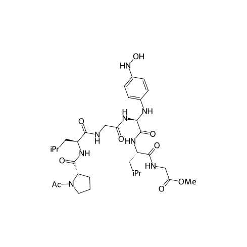 COC(=O)CNC(=O)[C@H](CC(C)C)NC(=O)[C@@H](NC(=O)CNC(=O)[C@H](CC(C)C)NC(=O)[C@@H]1CCCN1C(C)=O)Nc1ccc(NO)cc1